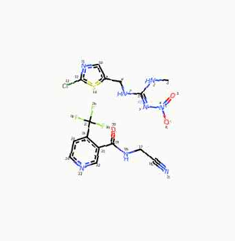 CN/C(=N\[N+](=O)[O-])NCc1cnc(Cl)s1.N#CCNC(=O)c1cnccc1C(F)(F)F